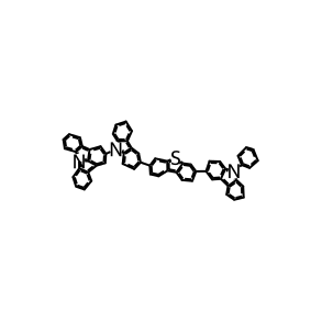 c1ccc(-n2c3ccccc3c3cc(-c4ccc5c(c4)sc4cc(-c6ccc7c(c6)c6ccccc6n7-c6cc7c8ccccc8n8c9ccccc9c(c6)c78)ccc45)ccc32)cc1